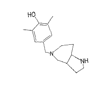 Cc1cc(CN2CCC3NCCC3C2)cc(C)c1O